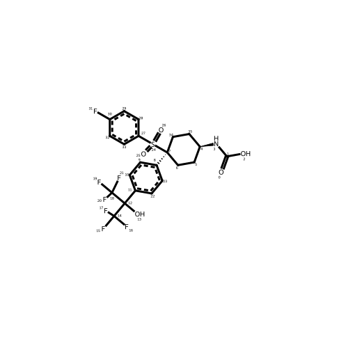 O=C(O)N[C@H]1CC[C@@](c2ccc(C(O)(C(F)(F)F)C(F)(F)F)cc2)(S(=O)(=O)c2ccc(F)cc2)CC1